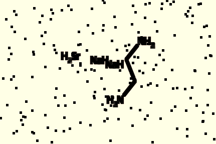 NCCN.[NaH].[NaH].[SrH2]